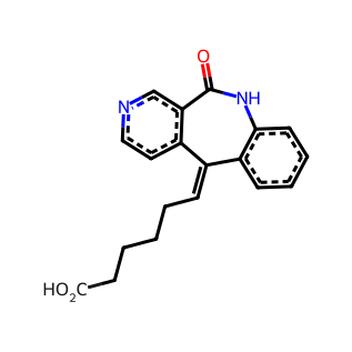 O=C(O)CCCCC=C1c2ccccc2NC(=O)c2cnccc21